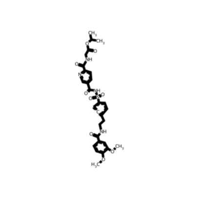 COc1ccc(C(=O)NCCc2ccc(S(=O)(=O)NC(=O)c3ccc(C(=O)NCC(=O)OC(C)C)nc3)cc2)cc1OC